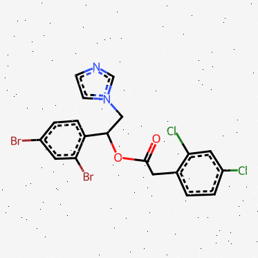 O=C(Cc1ccc(Cl)cc1Cl)OC(Cn1ccnc1)c1ccc(Br)cc1Br